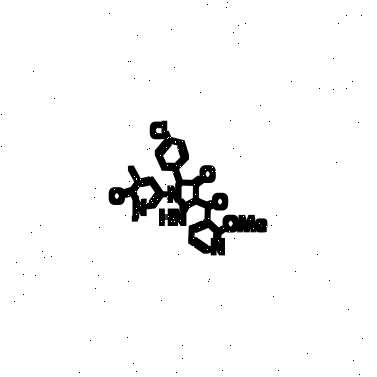 COc1ncccc1C(=O)C1C(=N)N(c2cc(C)c(=O)n(C)c2)C(c2ccc(Cl)cc2)C1=O